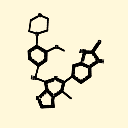 COc1cc(Nc2nc(-c3ccc4[nH]c(=O)[nH]c4c3)c(C)n3ccnc23)ccc1N1CCOCC1